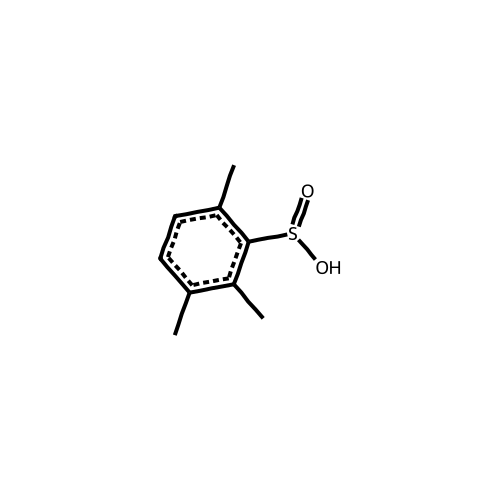 Cc1ccc(C)c(S(=O)O)c1C